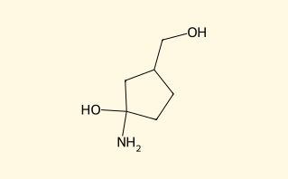 NC1(O)CCC(CO)C1